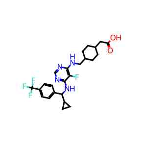 O=C(O)CC1CCC(CNc2ncnc(NC(c3ccc(C(F)(F)F)cc3)C3CC3)c2F)CC1